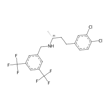 C[C@H](CCc1ccc(Cl)c(Cl)c1)NCc1cc(C(F)(F)F)cc(C(F)(F)F)c1